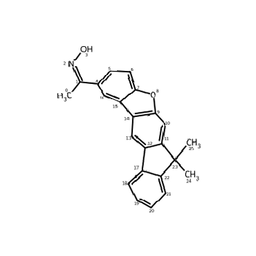 C/C(=N/O)c1ccc2oc3cc4c(cc3c2c1)-c1ccccc1C4(C)C